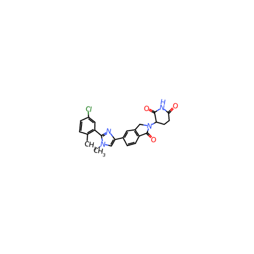 Cc1ccc(Cl)cc1-c1nc(-c2ccc3c(c2)CN(C2CCC(=O)NC2=O)C3=O)cn1C